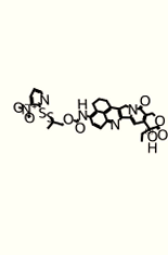 CC[C@@]1(O)C(=O)OCc2c1cc1n(c2=O)Cc2c-1nc1ccc(NC(=O)OCC(C)SSc3ncccc3[N+](=O)[O-])c3c1c2CCC3